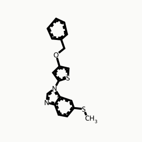 CSc1ccc2ncn(-c3cc(OCc4ccccc4)cs3)c2c1